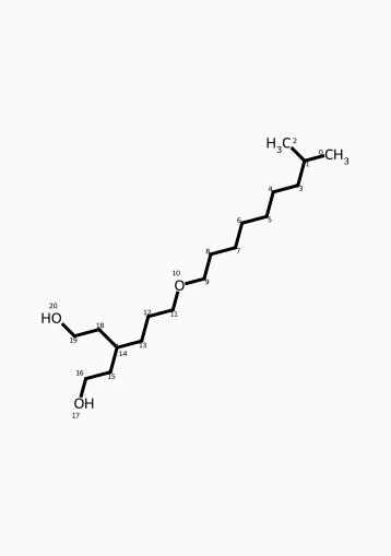 CC(C)CCCCCCCOCCC[C](CCO)CCO